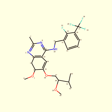 COC1Cc2nc(C)nc(NCc3cccc(C(F)(F)F)c3F)c2C=C1OCC(OC)C(C)C